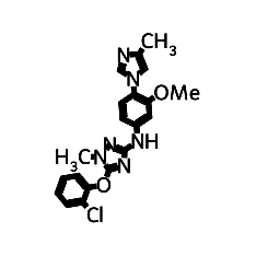 COc1cc(Nc2nc(Oc3ccccc3Cl)n(C)n2)ccc1-n1cnc(C)c1